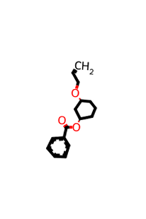 C=CCO[C@@H]1CCC[C@H](OC(=O)c2ccccc2)C1